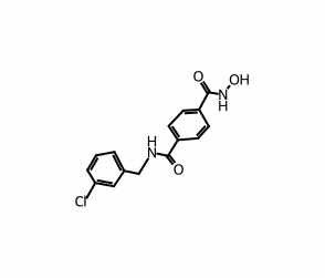 O=C(NO)c1ccc(C(=O)NCc2cccc(Cl)c2)cc1